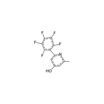 Cc1cc(O)cc(-c2c(F)c(F)c(F)c(F)c2F)n1